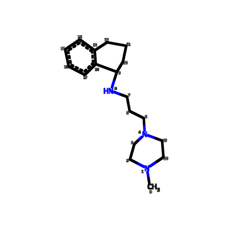 CN1CCN(CCCNC2CCCc3ccccc32)CC1